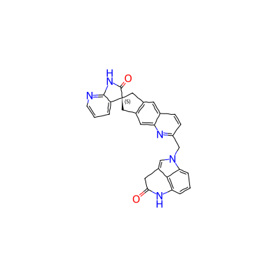 O=C1Cc2cn(Cc3ccc4cc5c(cc4n3)C[C@]3(C5)C(=O)Nc4ncccc43)c3cccc(c23)N1